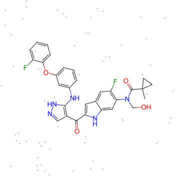 CC1(C(=O)N(CO)c2cc3[nH]c(C(=O)c4cn[nH]c4Nc4cccc(Oc5ccccc5F)c4)cc3cc2F)CC1